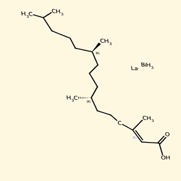 C/C(=C\C(=O)O)CCC[C@H](C)CCC[C@H](C)CCCC(C)C.[BiH3].[La]